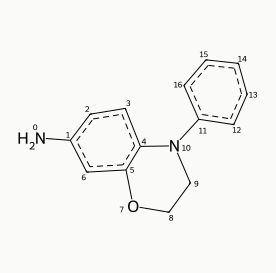 Nc1ccc2c(c1)OCCN2c1ccccc1